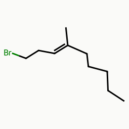 CCCCCC(C)=CCCBr